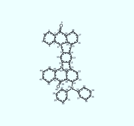 O=c1c2ccccc2n2c3cc4c(cc3c3cccc1c32)c1ccc(N(c2ccccc2)c2ccccc2)c2c(=O)c3ccccc3n4c21